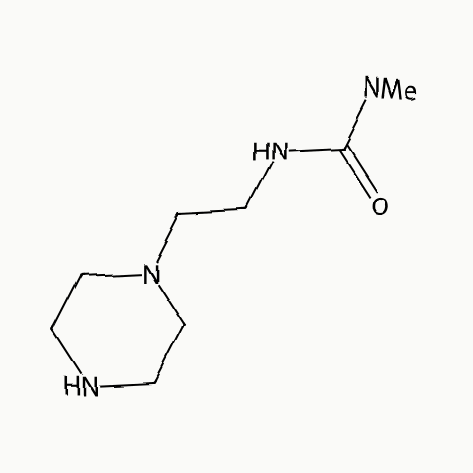 CNC(=O)NCCN1CCNCC1